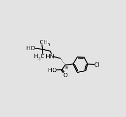 CC(C)(O)CNC[C@@H](C(=O)O)c1ccc(Cl)cc1